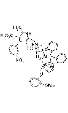 CCOC(=O)C1=C(C)NC(CNCC(C)(C)N(CC(O)COc2ccccc2OC)C(c2ccccc2)(c2ccccc2)c2ccccc2)=C(C(=O)OCC)C1c1cccc([N+](=O)[O-])c1